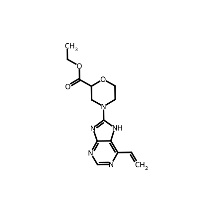 C=Cc1ncnc2nc(N3CCOC(C(=O)OCC)C3)[nH]c12